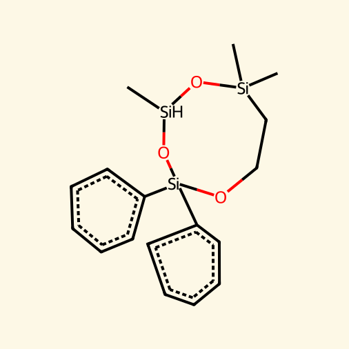 C[SiH]1O[Si](C)(C)CCO[Si](c2ccccc2)(c2ccccc2)O1